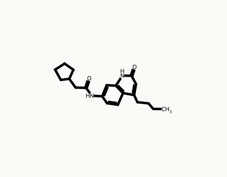 CCCCc1cc(=O)[nH]c2cc(NC(=O)CC3CCCC3)ccc12